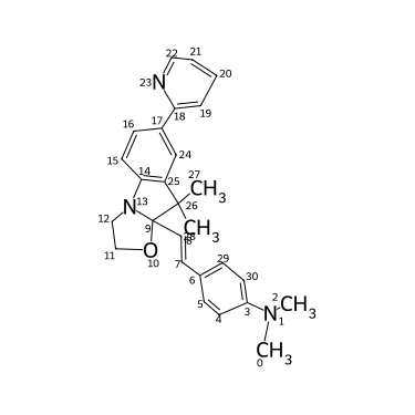 CN(C)c1ccc(C=CC23OCCN2c2ccc(-c4ccccn4)cc2C3(C)C)cc1